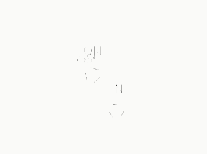 Cc1ccc(S(=O)(=O)O)c(C)c1C1CC(C)N(Cc2ccccc2)C1